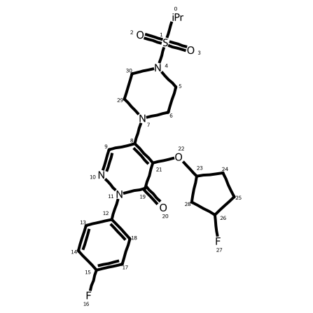 CC(C)S(=O)(=O)N1CCN(c2cnn(-c3ccc(F)cc3)c(=O)c2OC2CCC(F)C2)CC1